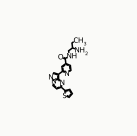 CCC(N)CNC(=O)c1ccnc(-c2cnn3ccc(-c4cccs4)nc23)c1